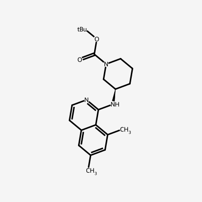 Cc1cc(C)c2c(N[C@@H]3CCCN(C(=O)OC(C)(C)C)C3)nccc2c1